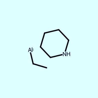 C1CCNCC1.C[CH2][Al]